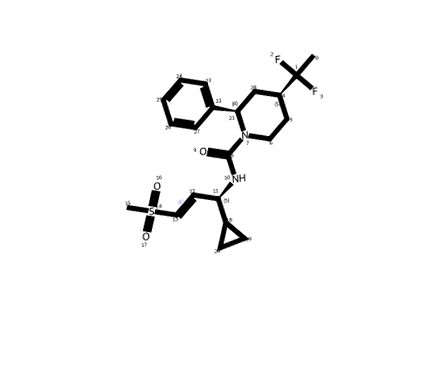 CC(F)(F)[C@H]1CCN(C(=O)N[C@H](/C=C/S(C)(=O)=O)C2CC2)[C@@H](c2ccccc2)C1